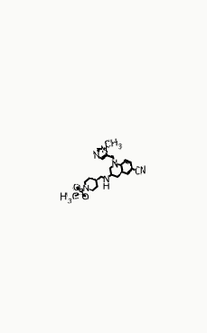 Cn1cncc1CN1CC(NCC2CCN(S(C)(=O)=O)CC2)Cc2cc(C#N)ccc21